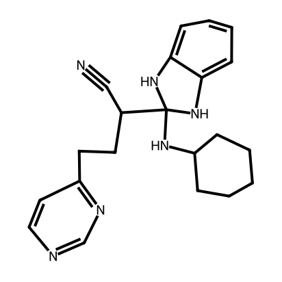 N#CC(CCc1ccncn1)C1(NC2CCCCC2)Nc2ccccc2N1